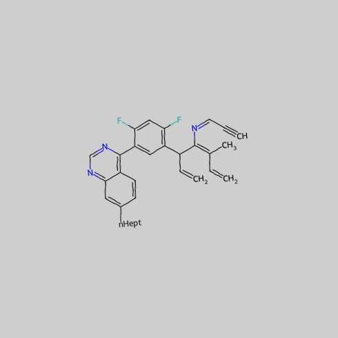 C#C/C=N\C(=C(/C)C=C)C(C=C)c1cc(-c2ncnc3cc(CCCCCCC)ccc23)c(F)cc1F